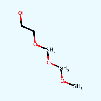 OCCO[SiH2]O[SiH2]O[SiH3]